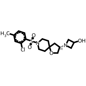 Cc1ccc(S(=O)(=O)N2CCC3(CC2)C[C@H](N2CC(O)C2)CO3)c(Cl)c1